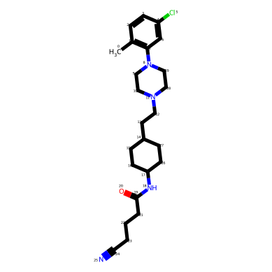 Cc1ccc(Cl)cc1N1CCN(CCC2CCC(NC(=O)CCCC#N)CC2)CC1